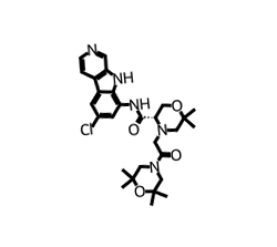 CC1(C)CN(CC(=O)N2CC(C)(C)OC(C)(C)C2)[C@H](C(=O)Nc2cc(Cl)cc3c2[nH]c2cnccc23)CO1